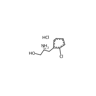 Cl.N[C@@H](CO)Cc1ccccc1Cl